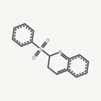 O=S(=O)(c1ccccc1)C1CC=c2ccccc2=N1